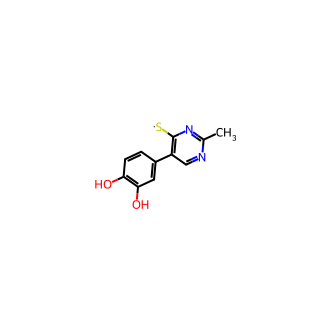 Cc1ncc(-c2ccc(O)c(O)c2)c([S])n1